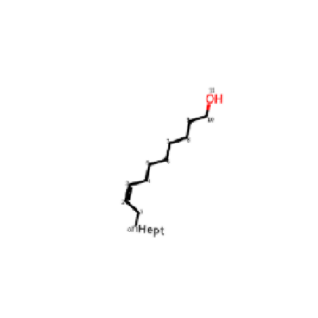 CCCCCCCC/C=C\CCCCCCCO